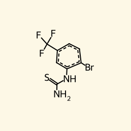 NC(=S)Nc1cc(C(F)(F)F)ccc1Br